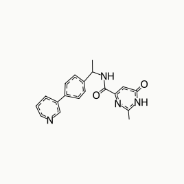 Cc1nc(C(=O)NC(C)c2ccc(-c3cccnc3)cc2)cc(=O)[nH]1